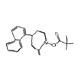 C=C1CC(c2cccc3ccccc23)CCN1OC(=O)C(C)(C)C